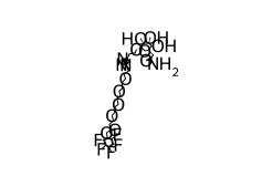 NC(=O)C[C@H]1O[C@H](OCCc2cn(CCOCCOCCOCCOCCC(=O)Oc3c(F)c(F)c(F)c(F)c3F)nn2)[C@@H](O)[C@@H](O)[C@@H]1O